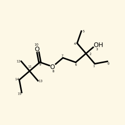 CCC(O)(CC)CCOC(=O)C(C)(C)CC